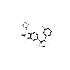 Cc1cccc(-c2nc[nH]c2-c2ccc3c(c2)n(C)c(=O)n3C2CCC2)c1